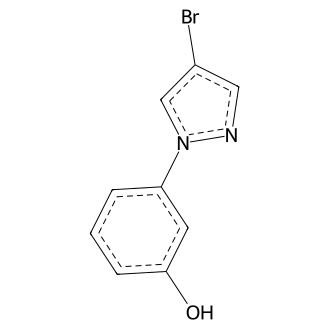 Oc1cccc(-n2cc(Br)cn2)c1